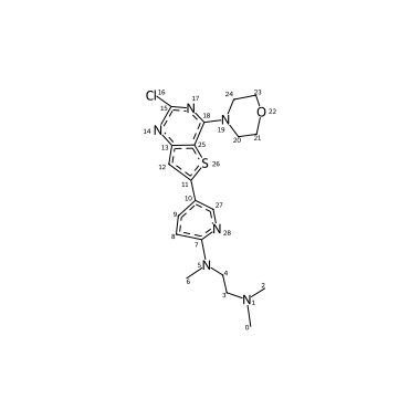 CN(C)CCN(C)c1ccc(-c2cc3nc(Cl)nc(N4CCOCC4)c3s2)cn1